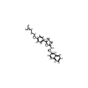 CN(C)CCCOc1ccc(-c2nnc(COc3ccc4ccccc4c3)o2)cc1